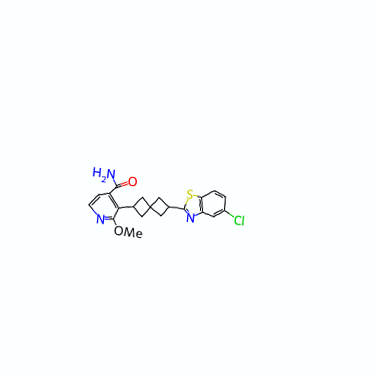 COc1nccc(C(N)=O)c1C1CC2(CC(c3nc4cc(Cl)ccc4s3)C2)C1